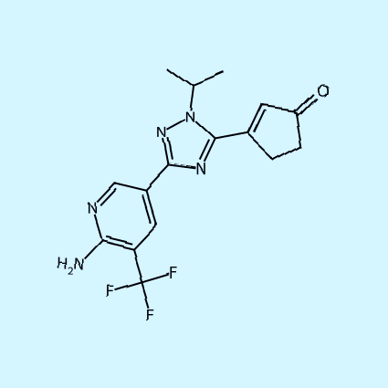 CC(C)n1nc(-c2cnc(N)c(C(F)(F)F)c2)nc1C1=CC(=O)CC1